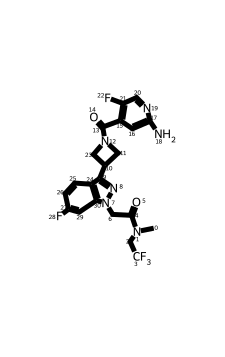 CN(CC(F)(F)F)C(=O)Cn1nc(C2CN(C(=O)c3cc(N)ncc3F)C2)c2ccc(F)cc21